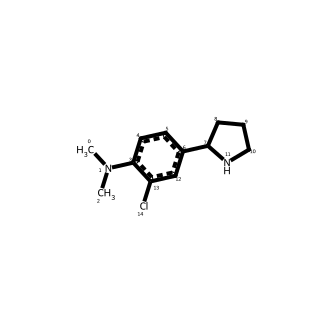 CN(C)c1ccc(C2CCCN2)cc1Cl